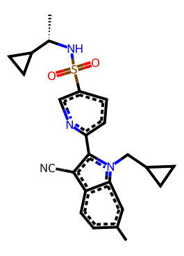 Cc1ccc2c(C#N)c(-c3ccc(S(=O)(=O)N[C@@H](C)C4CC4)cn3)n(CC3CC3)c2c1